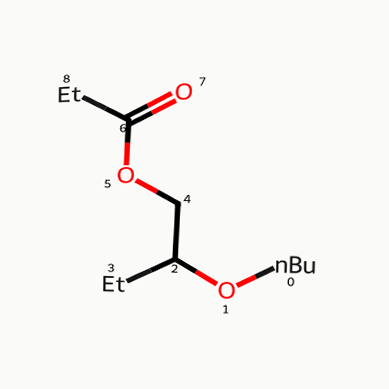 CCCCOC(CC)COC(=O)CC